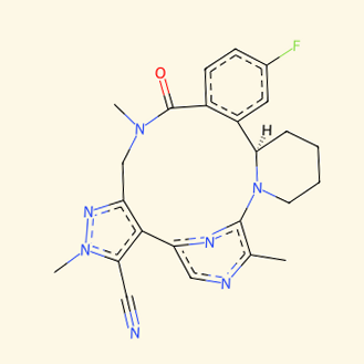 Cc1ncc2nc1N1CCCC[C@@H]1c1cc(F)ccc1C(=O)N(C)Cc1nn(C)c(C#N)c1-2